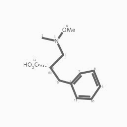 CON(C)C[C@H](Cc1ccccc1)C(=O)O